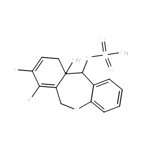 CC12CC=C(F)C(F)=C1CSc1ccccc1C2OS(C)(=O)=O